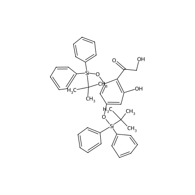 CC(C)(C)[Si](Oc1cc(O)c(C(=O)CO)c(O[Si](c2ccccc2)(c2ccccc2)C(C)(C)C)c1)(c1ccccc1)c1ccccc1